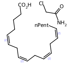 CCCCC/C=C\C/C=C\C/C=C\C/C=C\CCCC(=O)O.NC(=O)CCl